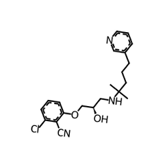 CC(C)(CCCc1cccnc1)NC[C@@H](O)COc1cccc(Cl)c1C#N